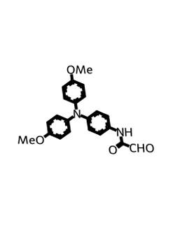 COc1ccc(N(c2ccc(NC(=O)C=O)cc2)c2ccc(OC)cc2)cc1